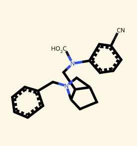 N#Cc1cccc(N(CC2C3CCC2N(Cc2ccccc2)C3)C(=O)O)c1